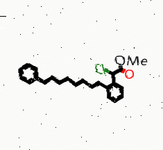 COC(=O)C(Cl)c1ccccc1CCCCCCCCc1ccccc1